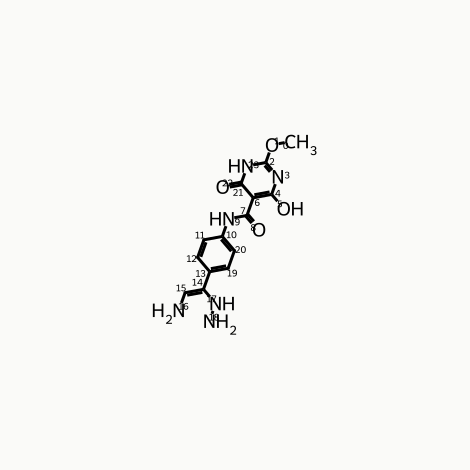 COc1nc(O)c(C(=O)Nc2ccc(/C(=C/N)NN)cc2)c(=O)[nH]1